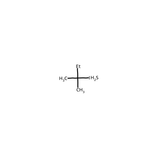 CCC(C)(C)I.S